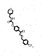 CC/C(=N\OCc1ccc(C(F)(F)F)cc1)c1ccc(OCC(=O)NCC2=CCOCC2)cc1